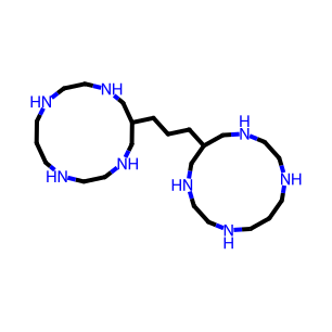 C1CNCCNCC(CCCC2CNCCNCCCNCCNC2)CNCCNC1